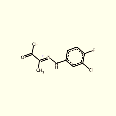 C/C(=N\Nc1ccc(F)c(Cl)c1)C(=O)O